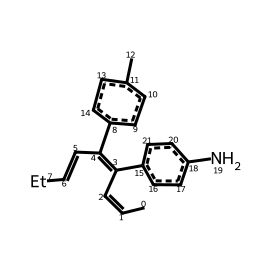 C\C=C/C(=C(\C=C\CC)c1ccc(C)cc1)c1ccc(N)cc1